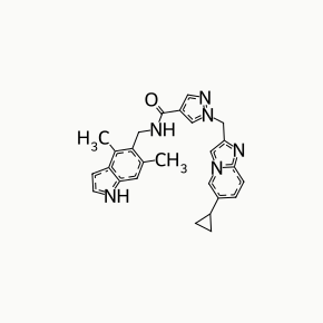 Cc1cc2[nH]ccc2c(C)c1CNC(=O)c1cnn(Cc2cn3cc(C4CC4)ccc3n2)c1